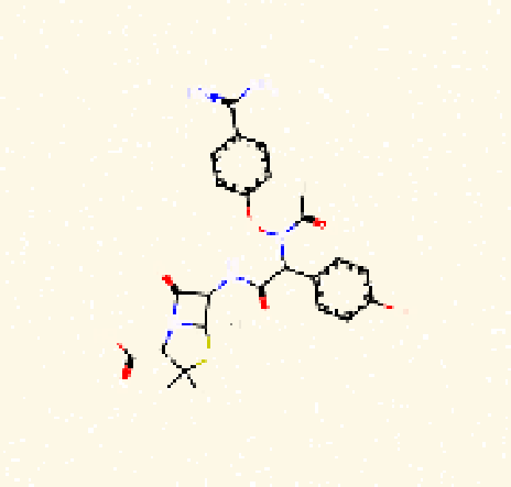 CC(=O)N(Oc1ccc(C(=N)N)cc1)C(C(=O)NC1C(=O)N2[C@@H]1SC(C)(C)[C@@H]2C(=O)O)c1ccc(O)cc1